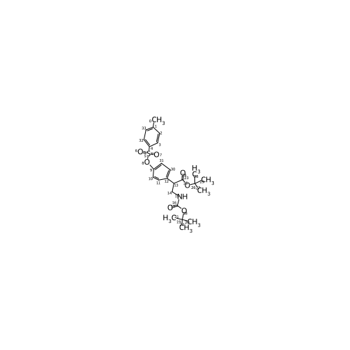 Cc1ccc(S(=O)(=O)Oc2ccc(C(CNC(=O)OC(C)(C)C)C(=O)OC(C)(C)C)cc2)cc1